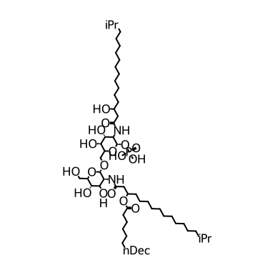 CCCCCCCCCCCCCCCC(=O)OC(CCCCCCCCCCCC(C)C)CC(=O)N[C@H]1C(O)[C@H](O)C(CO)O[C@H]1OCC1O[C@H](OP(=O)(O)O)C(NC(=O)CC(O)CCCCCCCCCCCC(C)C)[C@@H](O)[C@@H]1O